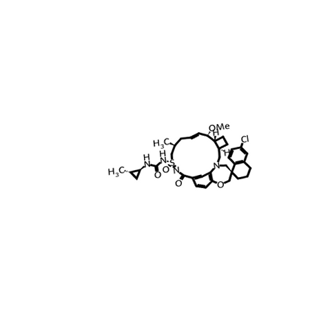 CO[C@H]1/C=C/C[C@H](C)C[S@@](=O)(NC(=O)N[C@H]2C[C@@H]2C)=NC(=O)c2ccc3c(c2)N(C[C@@H]2CC[C@H]21)C[C@@]1(CCCc2cc(Cl)ccc21)CO3